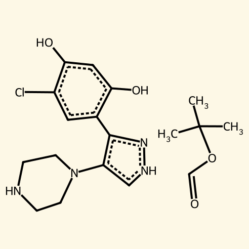 CC(C)(C)OC=O.Oc1cc(O)c(-c2n[nH]cc2N2CCNCC2)cc1Cl